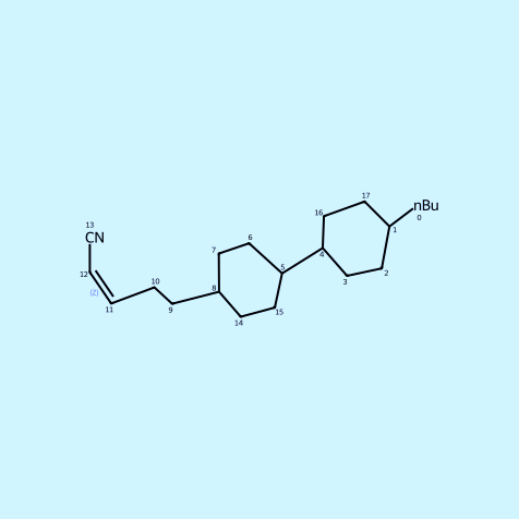 CCCCC1CCC(C2CCC(CC/C=C\C#N)CC2)CC1